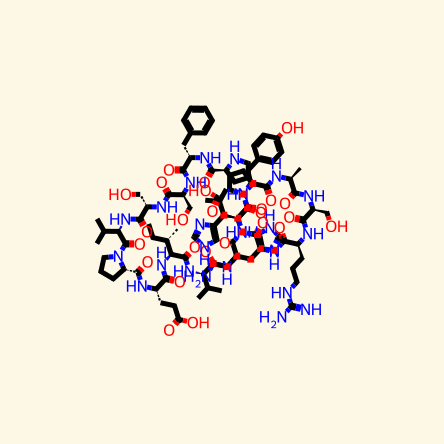 CC[C@H](C)[C@H](NC(=O)[C@H](CCC(=O)O)NC(=O)[C@@H]1CCCN1C(=O)[C@@H](NC(=O)[C@H](CO)NC(=O)[C@H](CO)NC(=O)[C@H](Cc1ccccc1)NC(=O)[C@@H]1CCCN1)C(C)C)C(=O)N[C@H](C(=O)N[C@@H](Cc1c[nH]cn1)C(=O)N[C@@H](Cc1c[nH]cn1)C(=O)N[C@@H](Cc1ccc(O)cc1)C(=O)N[C@@H](C)C(=O)N[C@@H](CO)C(=O)N[C@@H](CCCNC(=N)N)C(=O)N[C@@H](CCCCN)C(=O)N[C@@H](CC(C)C)C(=O)N1CCC[C@H]1C(=O)O)C(C)C